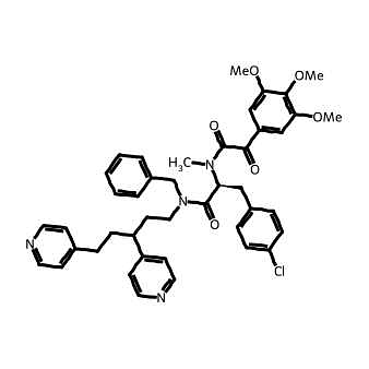 COc1cc(C(=O)C(=O)N(C)[C@@H](Cc2ccc(Cl)cc2)C(=O)N(CCC(CCc2ccncc2)c2ccncc2)Cc2ccccc2)cc(OC)c1OC